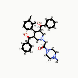 Cc1cccc(C2C(C(=O)c3ccccc3)CN(CC(=O)N3CCN(C)CC3)CC2C(=O)c2ccccc2)c1C